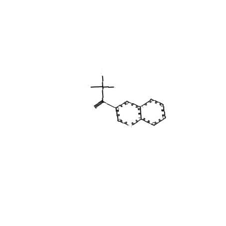 O=C(c1cnc2ccccc2c1)C(F)(F)F